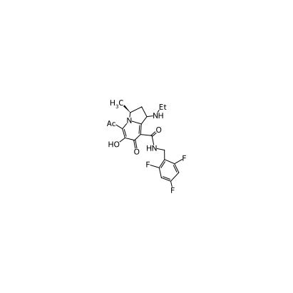 CCNC1C[C@H](C)n2c(C(C)=O)c(O)c(=O)c(C(=O)NCc3c(F)cc(F)cc3F)c21